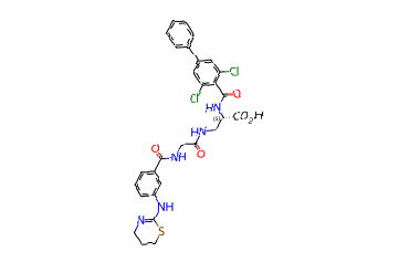 O=C(CNC(=O)c1cccc(NC2=NCCCS2)c1)NC[C@H](NC(=O)c1c(Cl)cc(-c2ccccc2)cc1Cl)C(=O)O